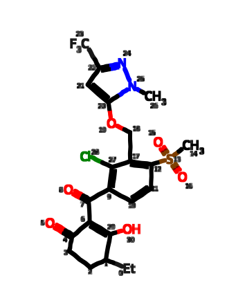 CCC1CCC(=O)C(C(=O)c2ccc(S(C)(=O)=O)c(COc3cc(C(F)(F)F)nn3C)c2Cl)=C1O